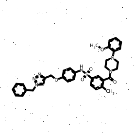 COc1ccccc1N1CCN(C(=O)c2cc(S(=O)(=O)Nc3ccc(OCc4cn(Cc5ccccc5)nn4)cc3)ccc2C)CC1